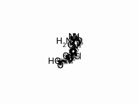 Nc1ncnc2c1C(=O)N(c1ccc(N3CCN(CCC(=O)O)C3=O)c(Cl)c1)CCO2